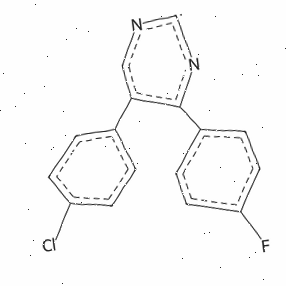 Fc1ccc(-c2n[c]ncc2-c2ccc(Cl)cc2)cc1